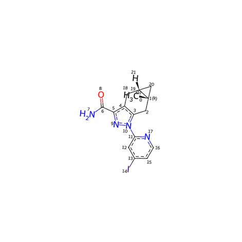 C[C@@]12Cc3c(c(C(N)=O)nn3-c3cc(I)ccn3)C[C@@H]1C2